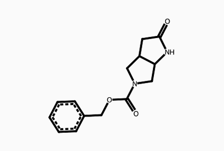 O=C1CC2CN(C(=O)OCc3ccccc3)CC2N1